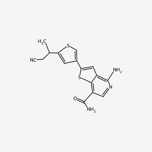 CC(CC#N)c1cc(-c2cc3c(N)ncc(C(N)=O)c3s2)cs1